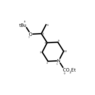 CCOC(=O)N1CCC(C(C)OC(C)(C)C)CC1